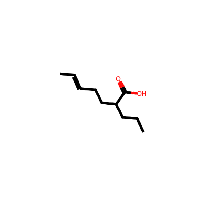 CC=CCCC(CCC)C(=O)O